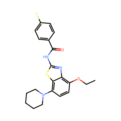 CCOc1ccc(N2CCCCC2)c2sc(NC(=O)c3ccc(F)cc3)nc12